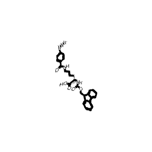 [N-]=[N+]=Nc1ccc(C(=O)NCCCC[C@H](NC(=O)OCC2c3ccccc3-c3ccccc32)C(=O)O)cc1